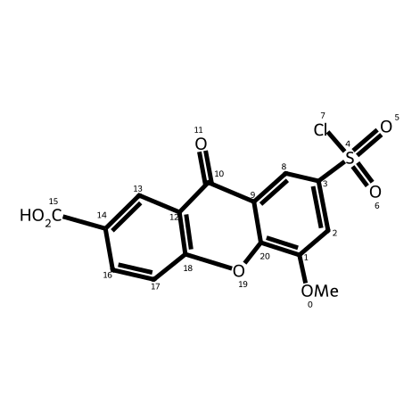 COc1cc(S(=O)(=O)Cl)cc2c(=O)c3cc(C(=O)O)ccc3oc12